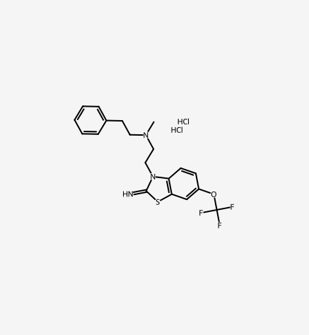 CN(CCc1ccccc1)CCn1c(=N)sc2cc(OC(F)(F)F)ccc21.Cl.Cl